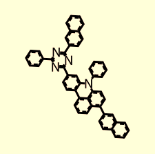 c1ccc(-c2nc(-c3ccc4c(c3)N(c3ccccc3)c3ccc(-c5ccc6ccccc6c5)c5cccc-4c35)nc(-c3ccc4ccccc4c3)n2)cc1